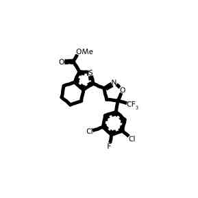 COC(=O)c1sc(C2=NOC(c3cc(Cl)c(F)c(Cl)c3)(C(F)(F)F)C2)c2c1CCCC2